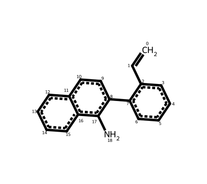 C=Cc1ccccc1-c1ccc2ccccc2c1N